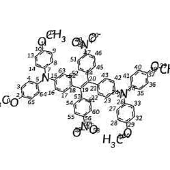 COc1ccc(N(c2ccc(OC)cc2)c2ccc(C(=C(c3ccc(N(c4ccc(OC)cc4)c4ccc(OC)cc4)cc3)c3ccc([N+](=O)[O-])cc3)c3ccc([N+](=O)[O-])cc3)cc2)cc1